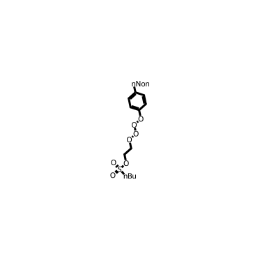 CCCCCCCCCc1ccc(OOOOCCOS(=O)(=O)CCCC)cc1